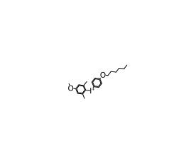 CCCCCCOc1ccc([I+]c2c(C)cc(OC)cc2C)cc1